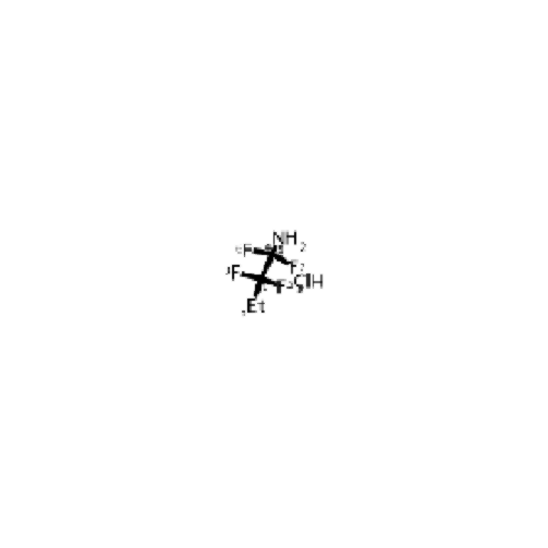 CCC(F)(F)C(N)(F)F.Cl